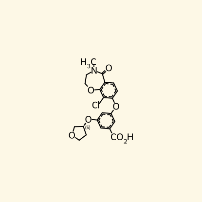 CN1CCOc2c(ccc(Oc3cc(O[C@H]4CCOC4)cc(C(=O)O)c3)c2Cl)C1=O